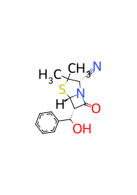 CC1(C)S[C@H]2[C@@H](C(O)c3ccccc3)C(=O)N2[C@H]1C#N